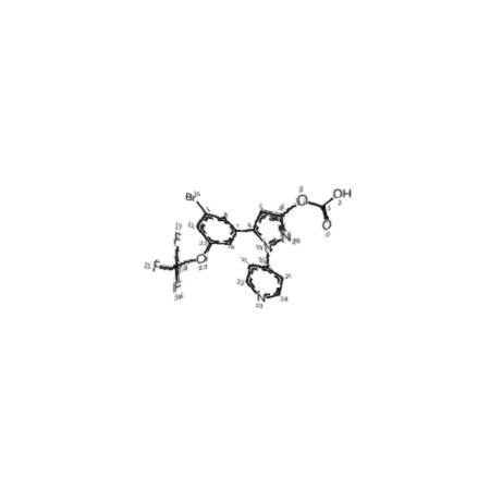 O=C(O)Oc1cc(-c2cc(Br)cc(OC(F)(F)F)c2)n(-c2ccncc2)n1